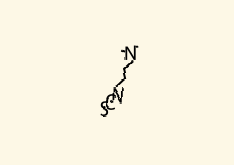 CN(C)CCCCN=C=S